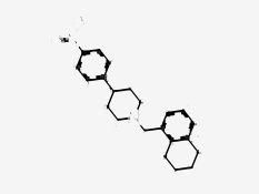 O=[N+]([O-])c1ccc(C2CCN(Cc3cccc4c3CCCC4)CC2)cc1